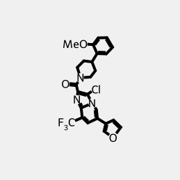 COc1ccccc1C1CCN(C(=O)c2nc3c(C(F)(F)F)cc(-c4ccoc4)cn3c2Cl)CC1